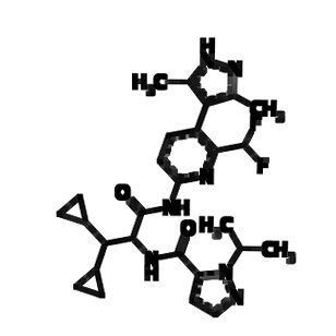 Cc1n[nH]c(C)c1-c1ccc(NC(=O)C(NC(=O)c2ccnn2C(C)C)C(C2CC2)C2CC2)nc1C(F)F